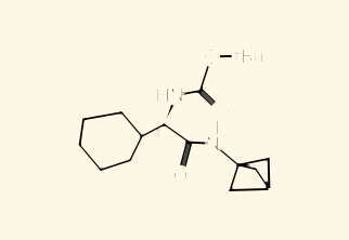 CC(C)(C)OC(=O)N[C@@H](C(=O)NC12CC(C1)C2)C1CCCCC1